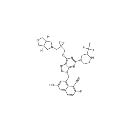 C#Cc1c(F)ccc2cc(O)cc(Cn3cnc4c(OCC5(CN6C[C@H]7COC[C@H]7C6)CC5)nc(N5CCNC(C(F)(F)F)C5)nc43)c12